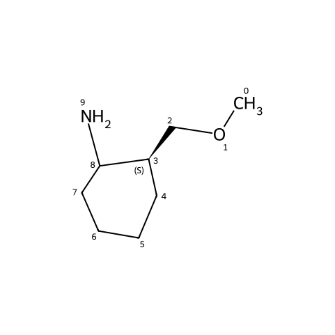 COC[C@H]1CCCCC1N